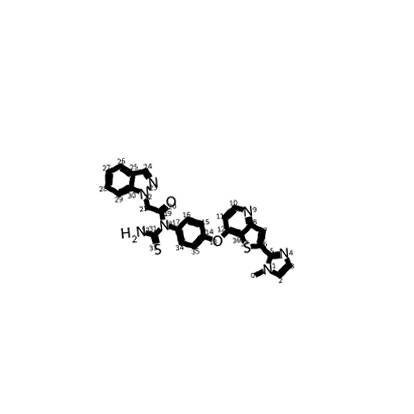 Cn1ccnc1-c1cc2nccc(Oc3ccc(N(C(=O)Cn4ncc5ccccc54)C(N)=S)cc3)c2s1